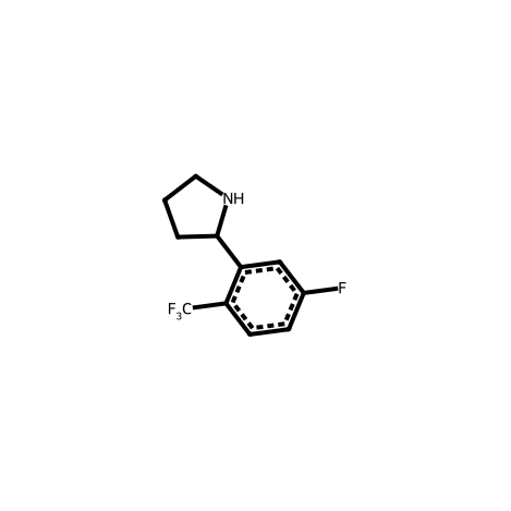 Fc1ccc(C(F)(F)F)c(C2CCCN2)c1